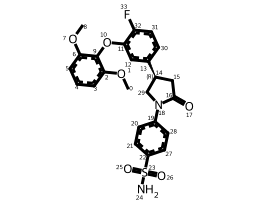 COc1cccc(OC)c1Oc1cc([C@H]2CC(=O)N(c3ccc(S(N)(=O)=O)cc3)C2)ccc1F